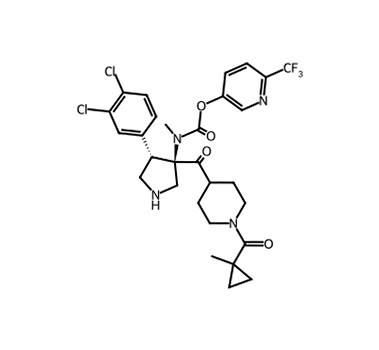 CN(C(=O)Oc1ccc(C(F)(F)F)nc1)[C@@]1(C(=O)C2CCN(C(=O)C3(C)CC3)CC2)CNC[C@@H]1c1ccc(Cl)c(Cl)c1